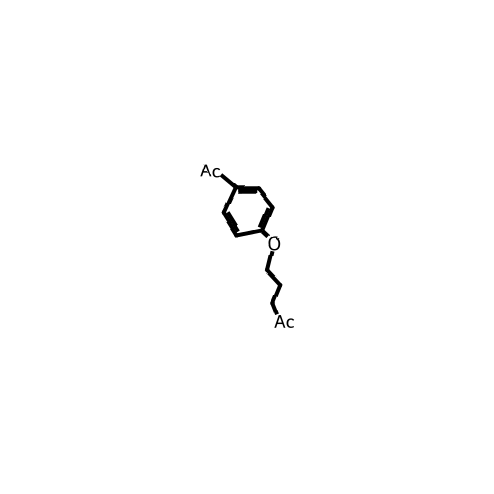 CC(=O)CCCOc1ccc(C(C)=O)cc1